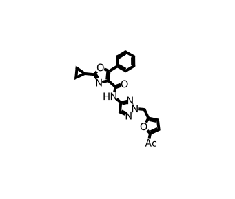 CC(=O)c1ccc(Cn2ncc(NC(=O)c3nc(C4CC4)oc3-c3ccccc3)n2)o1